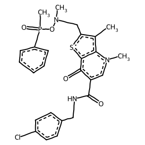 Cc1c(CN(C)OP(C)(=O)c2ccccc2)sc2c(=O)c(C(=O)NCc3ccc(Cl)cc3)cn(C)c12